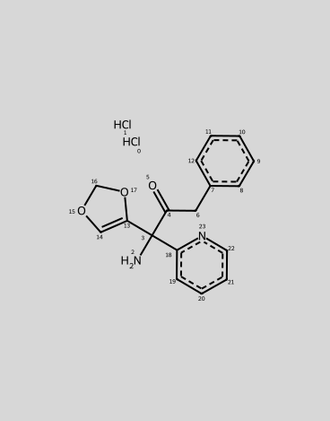 Cl.Cl.NC(C(=O)Cc1ccccc1)(C1=COCO1)c1ccccn1